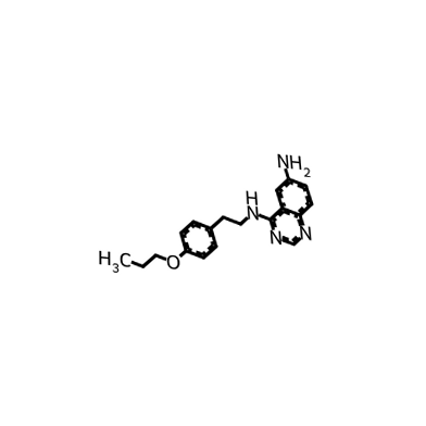 CCCOc1ccc(CCNc2ncnc3ccc(N)cc23)cc1